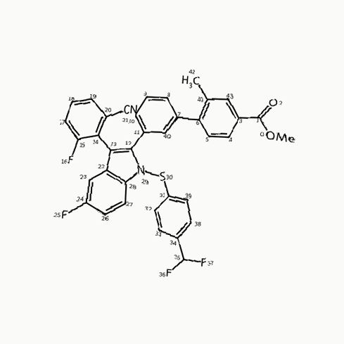 COC(=O)c1ccc(-c2cccc(-c3c(-c4c(F)cccc4C#N)c4cc(F)ccc4n3Sc3ccc(C(F)F)cc3)c2)c(C)c1